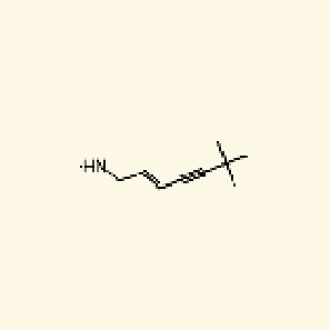 CC(C)(C)C#CC=CC[NH]